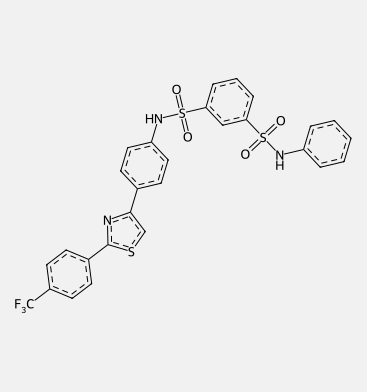 O=S(=O)(Nc1ccccc1)c1cccc(S(=O)(=O)Nc2ccc(-c3csc(-c4ccc(C(F)(F)F)cc4)n3)cc2)c1